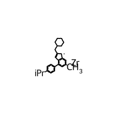 Cc1cc2c(c(-c3ccc(C(C)C)cc3)c1)C=C(CC1CCCCC1)[CH]2.[Zr]